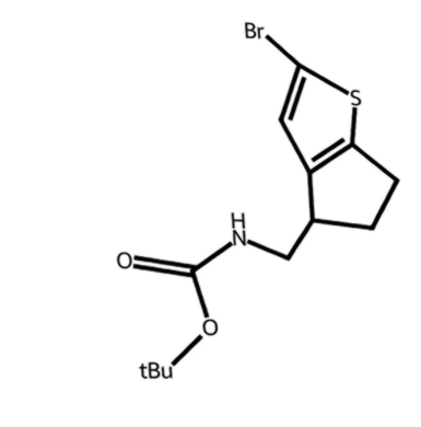 CC(C)(C)OC(=O)NCC1CCc2sc(Br)cc21